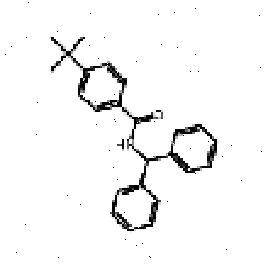 CC(C)(C)c1ccc(C(=O)NC(c2ccccc2)c2ccccc2)cc1